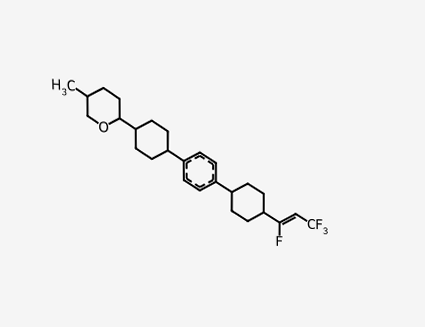 CC1CCC(C2CCC(c3ccc(C4CCC(/C(F)=C/C(F)(F)F)CC4)cc3)CC2)OC1